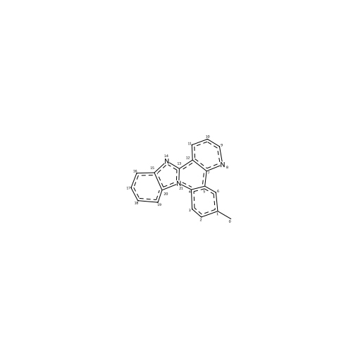 Cc1ccc2c(c1)c1ncccc1c1nc3ccccc3n21